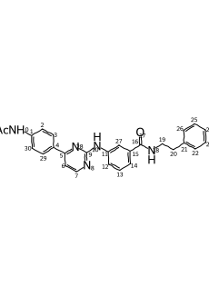 CC(=O)Nc1ccc(-c2ccnc(Nc3cccc(C(=O)NCCc4ccccc4)c3)n2)cc1